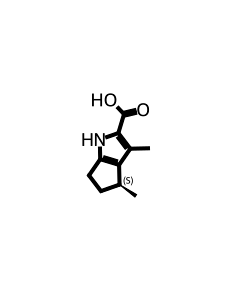 Cc1c(C(=O)O)[nH]c2c1[C@@H](C)CC2